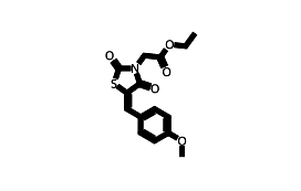 CCOC(=O)CN1C(=O)SC(=Cc2ccc(OC)cc2)C1=O